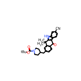 CC(C)(C)OC(=O)N1CCC(Cc2ccc3c(c2)C(C)(C)c2[nH]c4cc(C#N)ccc4c2C3=O)CC1